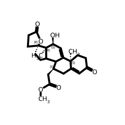 COC(=O)C[C@@H]1CC2=CC(=O)CC[C@]2(C)C2=C[C@H](O)[C@@]3(C)C(CC[C@@]34CCC(=O)O4)C21